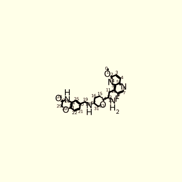 COc1ccc2ncc(F)c(C[C@@H](N)[C@@H]3CC[C@@H](NCc4ccc5c(c4)NC(=O)CO5)CO3)c2n1